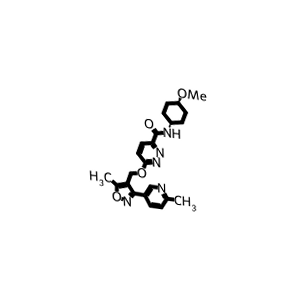 CO[C@H]1CC[C@H](NC(=O)c2ccc(OCc3c(-c4ccc(C)nc4)noc3C)nn2)CC1